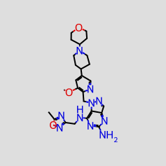 COc1cc(C2CCN(C3CCOCC3)CC2)cnc1Cn1ncc2nc(N)nc(NCc3noc(C)n3)c21